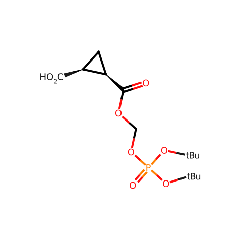 CC(C)(C)OP(=O)(OCOC(=O)[C@@H]1C[C@@H]1C(=O)O)OC(C)(C)C